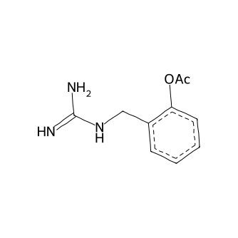 CC(=O)Oc1ccccc1CNC(=N)N